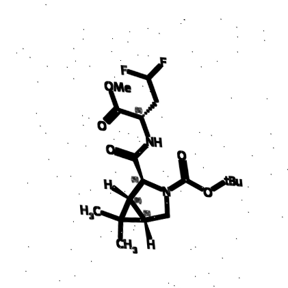 COC(=O)[C@H](CC(F)F)NC(=O)[C@@H]1[C@@H]2[C@H](CN1C(=O)OC(C)(C)C)C2(C)C